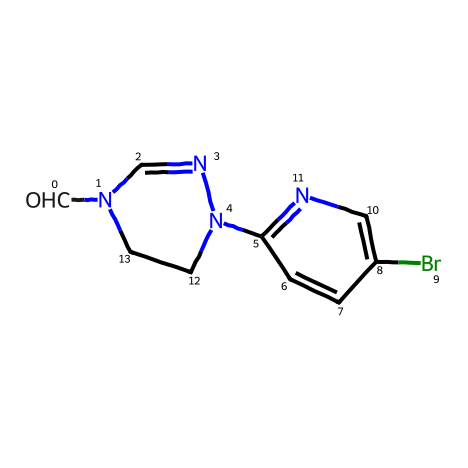 O=CN1C=NN(c2ccc(Br)cn2)CC1